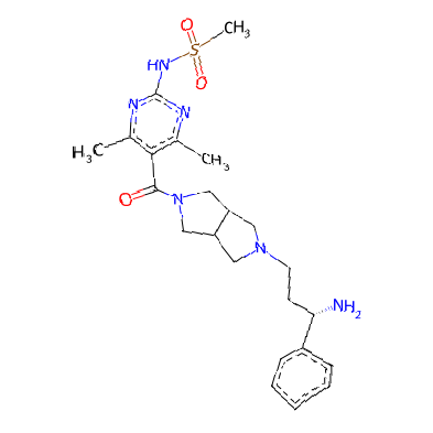 Cc1nc(NS(C)(=O)=O)nc(C)c1C(=O)N1CC2CN(CC[C@H](N)c3ccccc3)CC2C1